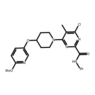 COc1ccc(OC2CCN(c3nc(C(=O)NC(C)C)nc(Cl)c3C)CC2)cn1